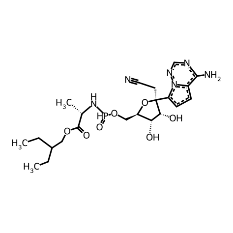 CCC(CC)COC(=O)[C@H](C)N[PH](=O)OC[C@H]1O[C@@](CC#N)(c2ccc3c(N)ncnn23)[C@H](O)[C@@H]1O